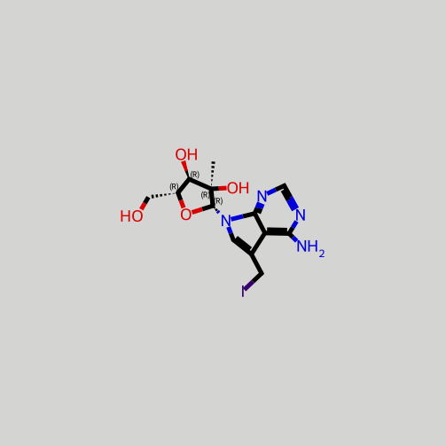 C[C@@]1(O)[C@H](O)[C@@H](CO)O[C@H]1n1cc(CI)c2c(N)ncnc21